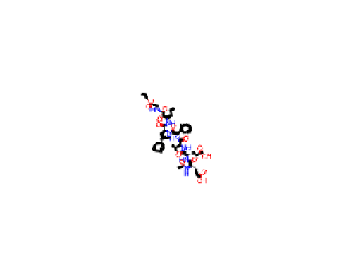 CCCOC(=O)CNC(=O)C(=O)C(CCC)NC(=O)[C@@H]1C[C@@H](c2ccccc2)CN1C(=O)[C@@H](NC(=O)[C@@H](NC(=O)[C@H](CCC(=O)O)NC(=O)[C@H](CCC(=O)O)NC(C)=O)C(C)C)C1CCCCC1